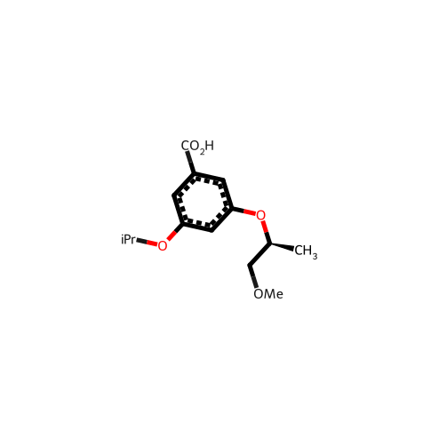 COC[C@H](C)Oc1cc(OC(C)C)cc(C(=O)O)c1